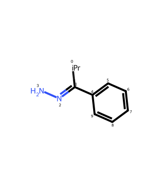 CC(C)C(=NN)c1ccccc1